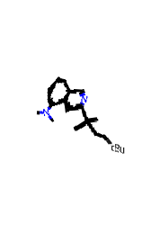 CN(C)c1cccc2cnc(C(C)(C)CCC(C)(C)C)cc12